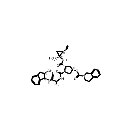 C=C[C@@H]1C[C@]1(NC(=O)[C@@H]1C[C@@H](OC(=O)N2CCc3ccccc3C2)CN1C(=O)NC(C(=O)N[C@H]1c2ccccc2C[C@H]1O)C(C)(C)C)C(=O)O